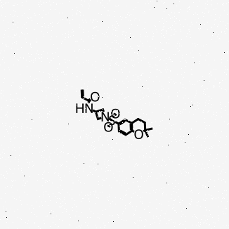 C=CC(=O)NC1CN(S(=O)(=O)c2ccc3c(c2)CCC(C)(C)O3)C1